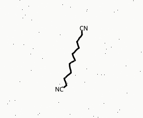 N#CCCCCCCCCCC#N